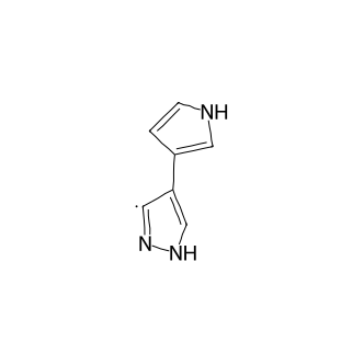 [c]1n[nH]cc1-c1cc[nH]c1